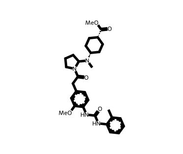 COc1cc(CC(=O)N2CCCC2N(C)[C@H]2CC[C@@H](C(=O)OC)CC2)ccc1NC(=O)Nc1ccccc1C